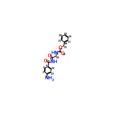 Nc1ccc(C(=O)NC(=O)CNC(=O)OCc2ccccc2)cc1